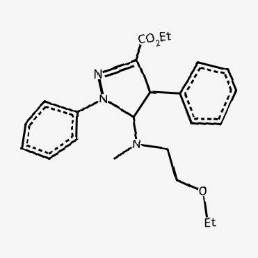 CCOCCN(C)C1C(c2ccccc2)C(C(=O)OCC)=NN1c1ccccc1